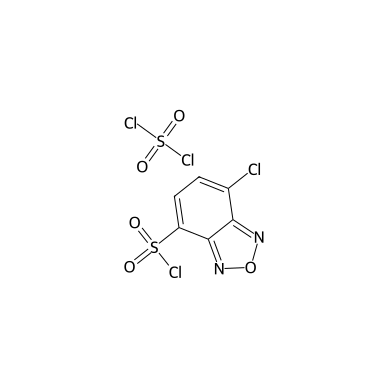 O=S(=O)(Cl)Cl.O=S(=O)(Cl)c1ccc(Cl)c2nonc12